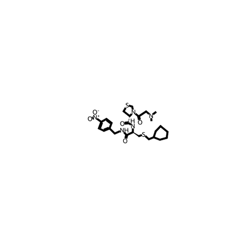 CN(C)CC(=O)N1CSC[C@H]1C(=O)N[C@@H](CSCC1CCCCC1)C(=O)NCc1ccc([N+](=O)[O-])cc1